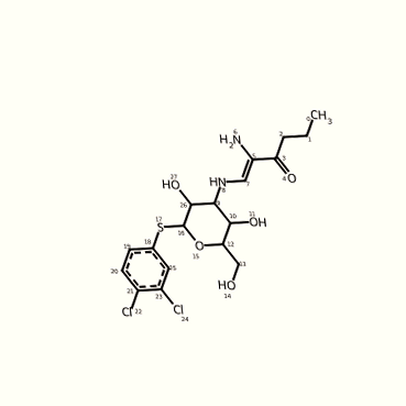 CCCC(=O)/C(N)=C/NC1C(O)C(CO)OC(Sc2ccc(Cl)c(Cl)c2)C1O